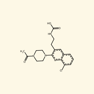 CC(=O)N1CCN(c2nc3c(Cl)cccc3cc2CCNC(=O)O)CC1